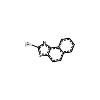 CC(C)c1nc2c(ccc3ccccc32)s1